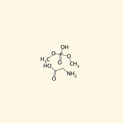 COP(=O)(O)OC.NCC(=O)O